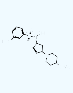 COC1CCN(C2C=CC(N(C)S(=O)(=O)c3cccc(C)c3)C2)CC1